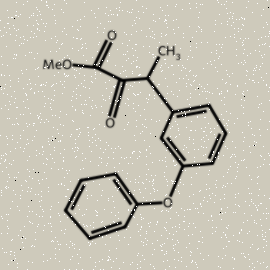 COC(=O)C(=O)C(C)c1cccc(Oc2ccccc2)c1